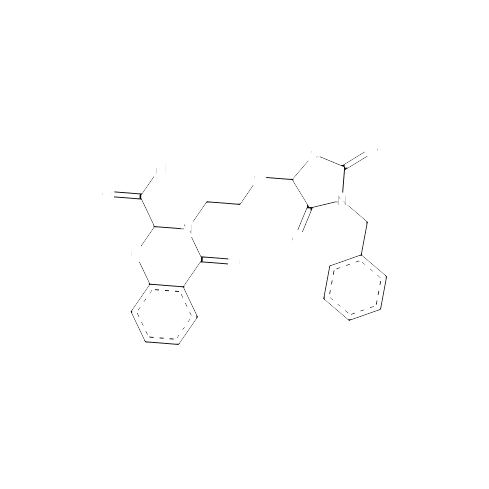 CCCC(=O)C1Oc2ccccc2C(=O)N1CCOC1SC(=O)N(Cc2ccccc2)C1=O